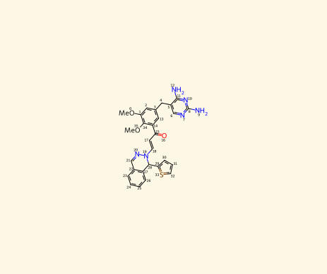 COc1cc(Cc2cnc(N)nc2N)cc(C(=O)/C=C/N2N=Cc3ccccc3C2c2cccs2)c1OC